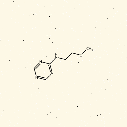 COCCNc1ncncn1